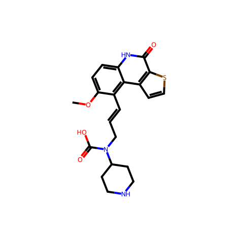 COc1ccc2[nH]c(=O)c3sccc3c2c1C=CCN(C(=O)O)C1CCNCC1